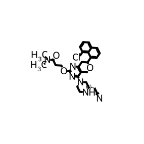 CN(C)C(=O)CCOc1nc2c(c(N3CCN[C@@H](CC#N)C3)n1)COC(c1cccc3cccc(Cl)c13)C2